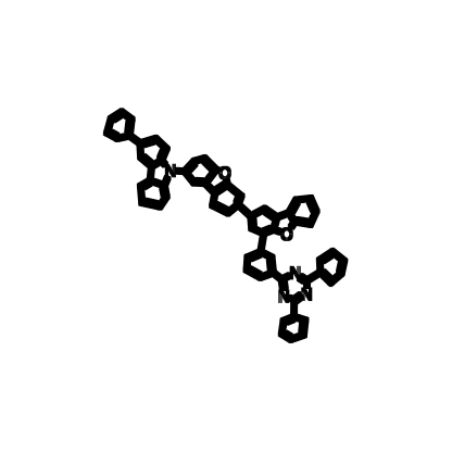 c1ccc(-c2ccc3c(c2)c2ccccc2n3-c2ccc3oc4cc(-c5cc(-c6cccc(-c7nc(-c8ccccc8)nc(-c8ccccc8)n7)c6)c6oc7ccccc7c6c5)ccc4c3c2)cc1